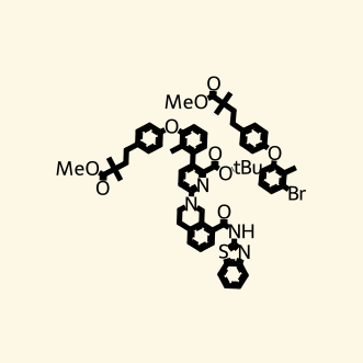 COC(=O)C(C)(C)CCc1ccc(Oc2cccc(-c3ccc(N4CCc5cccc(C(=O)Nc6nc7ccccc7s6)c5C4)nc3C(=O)OC(C)(C)C)c2C)cc1.COC(=O)C(C)(C)CCc1ccc(Oc2cccc(Br)c2C)cc1